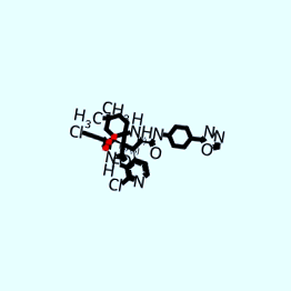 CC1(C)CCC2(CC1)N[C@@H](C(=O)NC1CCC(c3nnco3)CC1)[C@H](c1ccnc(Cl)c1F)[C@]21C(=O)Nc2cc(Cl)ncc21